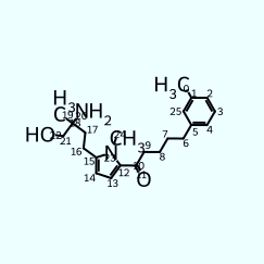 Cc1cccc(CCCCC(=O)c2ccc(CCC(C)(N)CO)n2C)c1